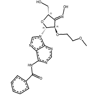 COCCO[C@@H]1C(=NO)[C@@H](CO)O[C@H]1n1cnc2c(NC(=O)c3ccccc3)ncnc21